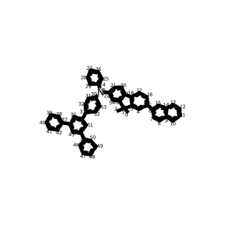 CC1(C)c2cc(-c3ccc4ccccc4c3)ccc2-c2ccc(N(c3ccccc3)c3ccc(-c4cc(-c5ccccc5)cc(-c5ccccc5)c4)cc3)cc21